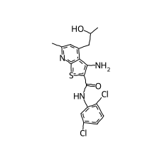 Cc1cc(CC(C)O)c2c(N)c(C(=O)Nc3cc(Cl)ccc3Cl)sc2n1